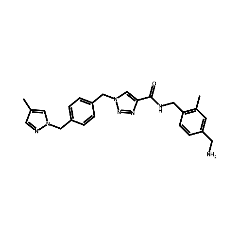 Cc1cnn(Cc2ccc(Cn3cc(C(=O)NCc4ccc(CN)cc4C)nn3)cc2)c1